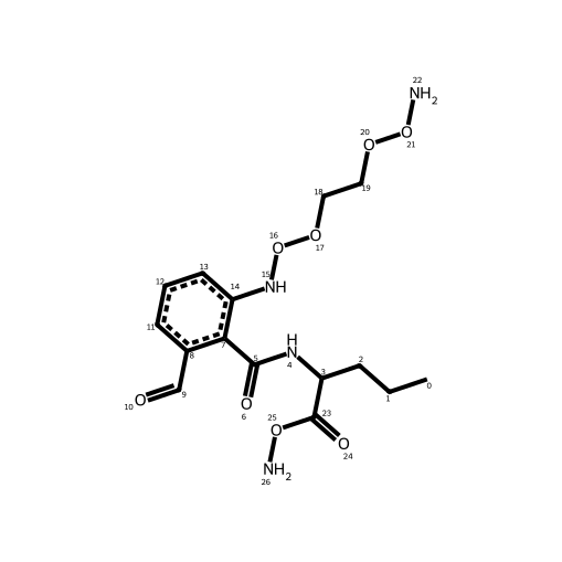 CCCC(NC(=O)c1c(C=O)cccc1NOOCCOON)C(=O)ON